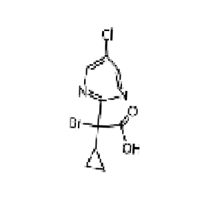 O=C(O)C(Br)(c1ncc(Cl)cn1)C1CC1